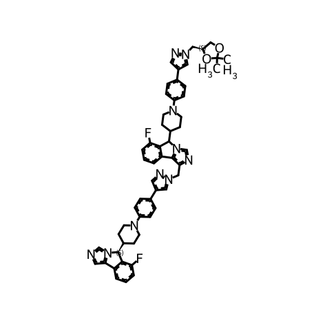 CC1(C)OC[C@H](Cn2cc(-c3ccc(N4CCC(C5c6c(F)cccc6-c6c(Cn7cc(-c8ccc(N9CCC([C@H]%10c%11c(F)cccc%11-c%11cncn%11%10)CC9)cc8)cn7)ncn65)CC4)cc3)cn2)O1